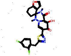 CN1C(=O)c2c(O)c(=O)c(-c3nnc(Cc4ccc(F)cc4F)s3)cn2N(C)C12CCCc1occc12